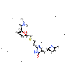 Cc1ccc(Cc2cnc(CCSCc3ccc(CN(C)C)o3)[nH]c2=O)cn1